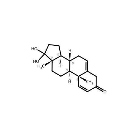 C[C@]12C=CC(=O)CC1=CC[C@@H]1[C@@H]2CC[C@@]2(C)[C@H]1CCC2(O)O